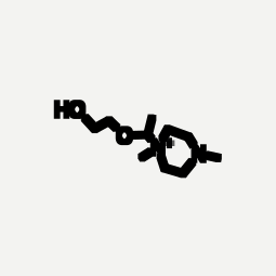 CC(OCCO)[N+]1(C)CCN(C)CC1